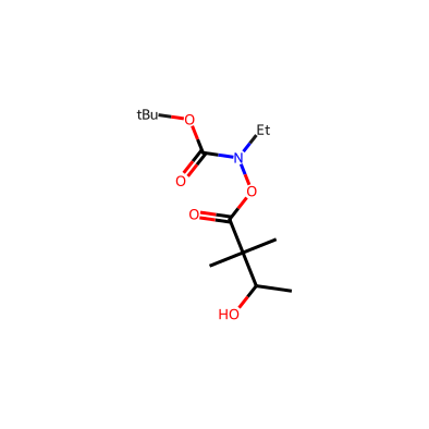 CCN(OC(=O)C(C)(C)C(C)O)C(=O)OC(C)(C)C